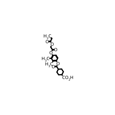 C=CC(=O)OCC(=O)Oc1ccc(OC(=O)C2CCC(C(=O)O)CC2)c(C)c1C